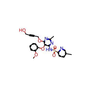 COc1ccccc1Oc1c(NS(=O)(=O)c2ccc(C)cn2)nc(C)nc1OCC#CCO